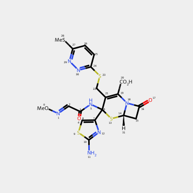 CON=CC(=O)NC1(c2csc(N)n2)S[C@H]2CC(=O)N2C(C(=O)O)=C1CSc1ccc(SC)nn1